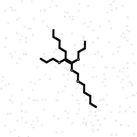 CCCCCOCOC(OCCC)=C(CCCCC)OCCC